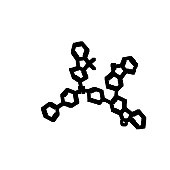 CC1(C)c2ccccc2-c2ccc(N(c3ccc(-c4ccccc4)cc3)c3ccc(-c4cc5oc6ccccc6c5cc4-c4ccc5sc6ccccc6c5c4)cc3)cc21